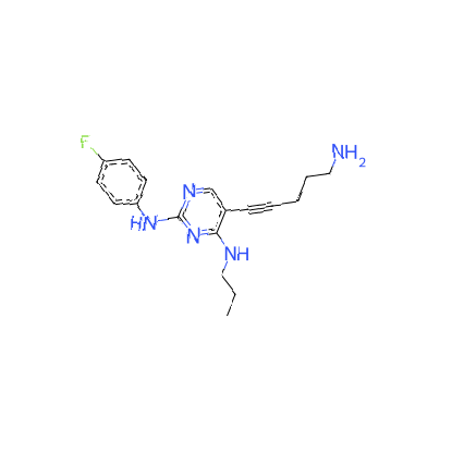 CCCNc1nc(Nc2ccc(F)cc2)ncc1C#CCCCN